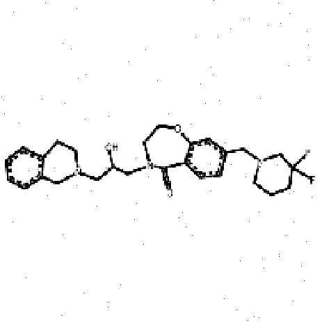 O=C1c2ccc(CN3CCCC(F)(F)C3)cc2OCCN1CC(O)CN1CCc2ccccc2C1